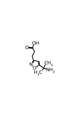 CC(C)(N)c1cc(CCC(=O)O)no1